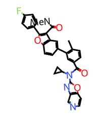 CNC(=O)c1c(-c2ccc(F)cc2)oc2ccc(-c3cc(C(=O)N(c4nc5cnccc5o4)C4CC4)ccc3C)cc12